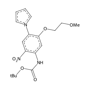 COCCOc1cc(NC(=O)OC(C)(C)C)c([N+](=O)[O-])cc1-n1cccc1